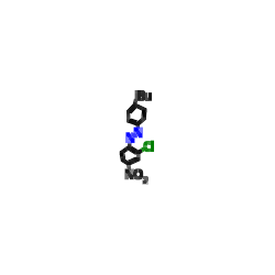 CCC(C)c1ccc(N=Nc2ccc([N+](=O)[O-])cc2Cl)cc1